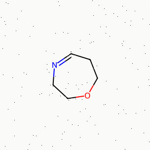 [C]1=NCCOCC1